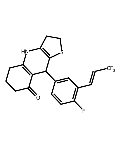 O=C1CCCC2=C1C(c1ccc(F)c(C=CC(F)(F)F)c1)C1=C(CCS1)N2